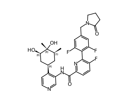 C[C@H]1C[C@@H](c2ccncc2NC(=O)c2ccc(F)c(-c3c(F)cc(CN4CCCC4=O)cc3F)n2)C[C@@H](O)[C@]1(C)O